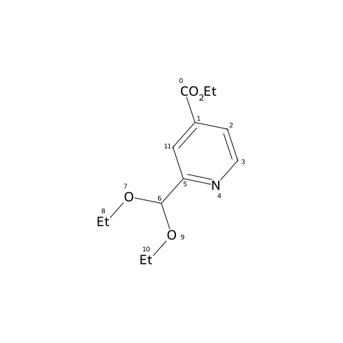 CCOC(=O)c1ccnc(C(OCC)OCC)c1